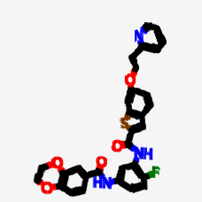 O=C(Nc1ccc(F)c(NC(=O)c2cc3ccc(OCCc4ccccn4)cc3s2)c1)c1ccc2c(c1)OCCO2